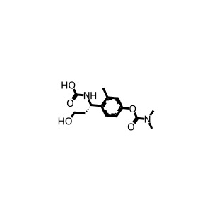 Cc1cc(OC(=O)N(C)C)ccc1[C@H](CCO)NC(=O)O